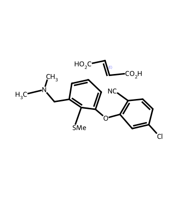 CSc1c(CN(C)C)cccc1Oc1cc(Cl)ccc1C#N.O=C(O)/C=C/C(=O)O